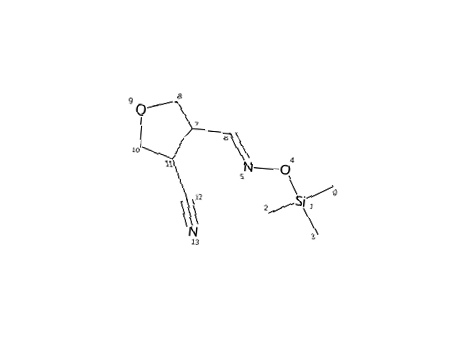 C[Si](C)(C)ON=CC1COCC1C#N